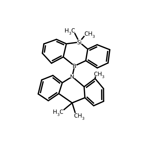 Cc1cccc2c1N(B1c3ccccc3[Si](C)(C)c3ccccc31)c1ccccc1C2(C)C